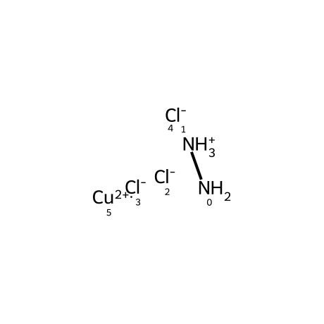 N[NH3+].[Cl-].[Cl-].[Cl-].[Cu+2]